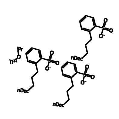 CC(C)[O][Ti+3].CCCCCCCCCCCCCc1ccccc1S(=O)(=O)[O-].CCCCCCCCCCCCCc1ccccc1S(=O)(=O)[O-].CCCCCCCCCCCCCc1ccccc1S(=O)(=O)[O-]